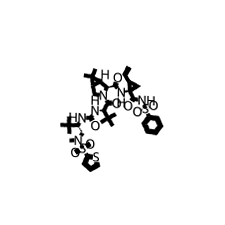 C=CC1C[C@]1(NC(=O)[C@@H]1[C@@H]2C(CN1C(=O)[C@@H](NC(=O)N[C@H](CN(C)S(=O)(=O)c1cccs1)C(C)(C)C)C(C)(C)C)C2(C)C)C(=O)NS(=O)(=O)c1ccccc1